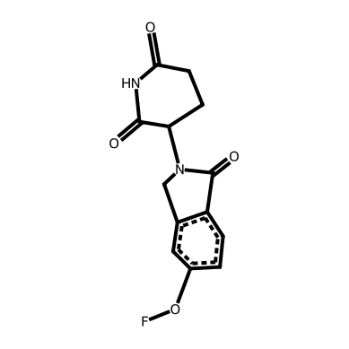 O=C1CCC(N2Cc3cc(OF)ccc3C2=O)C(=O)N1